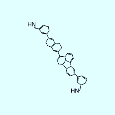 N=CC1=CCCC(C2=CC3=C(C=C(C4=CC=C5C6C=CC(C7=CC(C=N)CC=C7)=CC6C6=CC=CC4C56)CC3)CC2)=C1